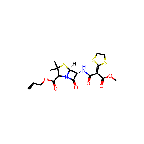 C=CCOC(=O)C1N2C(=O)[C@@H](NC(=O)C(C(=O)OC)=C3SCCS3)[C@@H]2SC1(C)C